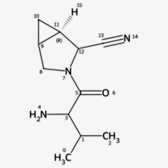 CC(C)C(N)C(=O)N1CC2C[C@H]2C1C#N